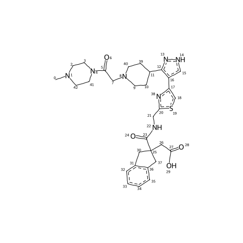 CN1CCN(C(=O)CN2CCC(c3n[nH]cc3-c3csc(CNC(=O)C4(CC(=O)O)Cc5ccccc5C4)n3)CC2)CC1